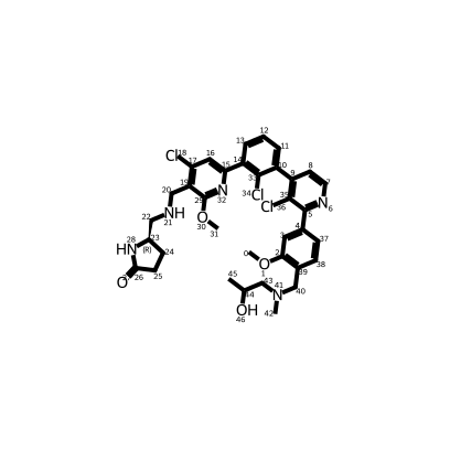 COc1cc(-c2nccc(-c3cccc(-c4cc(Cl)c(CNC[C@H]5CCC(=O)N5)c(OC)n4)c3Cl)c2Cl)ccc1CN(C)CC(C)O